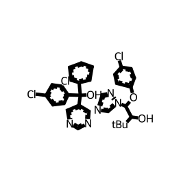 CC(C)(C)C(O)C(Oc1ccc(Cl)cc1)n1cncn1.OC(c1ccccc1)(c1cncnc1)c1ccc(Cl)cc1Cl